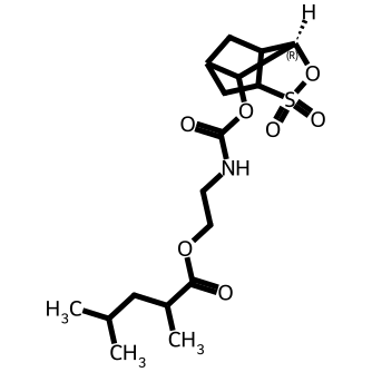 CC(C)CC(C)C(=O)OCCNC(=O)OC1C2CC3C(C2)S(=O)(=O)O[C@H]31